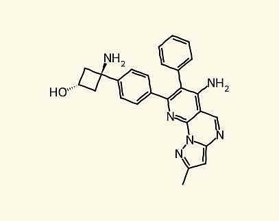 Cc1cc2ncc3c(N)c(-c4ccccc4)c(-c4ccc([C@]5(N)C[C@H](O)C5)cc4)nc3n2n1